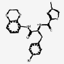 CC1C=C(C(=O)NC(Cc2ccc(O)cc2)C(=O)Nc2cccc3c2OCCO3)SC1